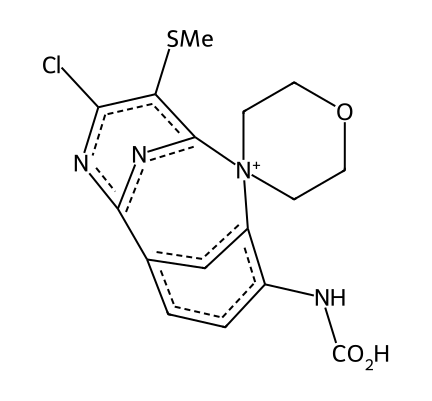 CSc1c(Cl)nc2nc1[N+]1(CCOCC1)c1cc-2ccc1NC(=O)O